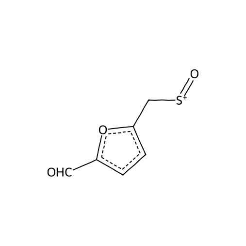 O=Cc1ccc(C[S+]=O)o1